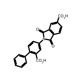 O=C(O)c1ccc2c(c1)C(=O)N(c1ccc(-c3ccccc3)c(C(=O)O)c1)C2=O